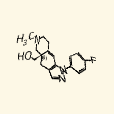 CN1CCC2=Cc3c(cnn3-c3ccc(F)cc3)C[C@]2(CO)C1